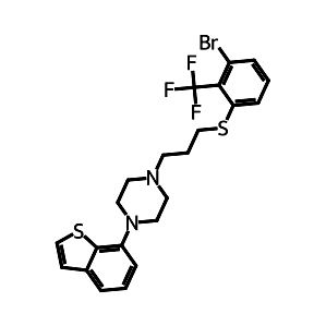 FC(F)(F)c1c(Br)cccc1SCCCN1CCN(c2cccc3ccsc23)CC1